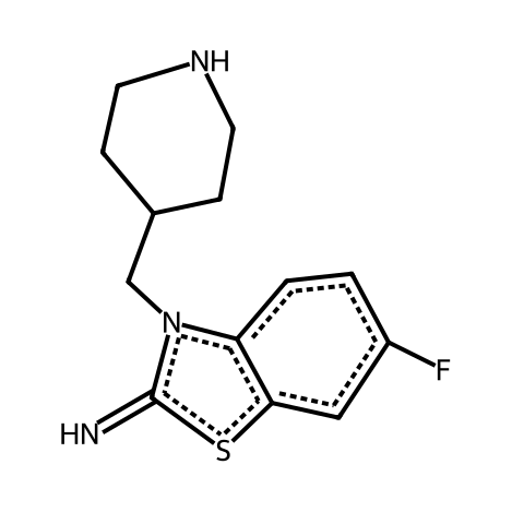 N=c1sc2cc(F)ccc2n1CC1CCNCC1